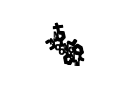 C=CCN(C(=O)c1ccc(C(C)(C)C)nc1N(CC)CC)S(=O)(=O)c1cccc(N(C)C(C)c2ccccc2)n1